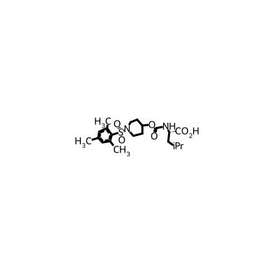 Cc1cc(C)c(S(=O)(=O)N2CCC(OC(=O)N[C@@H](CC(C)C)C(=O)O)CC2)c(C)c1